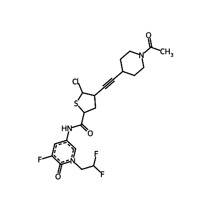 CC(=O)N1CCC(C#CC2CC(C(=O)Nc3cc(F)c(=O)n(CC(F)F)c3)SC2Cl)CC1